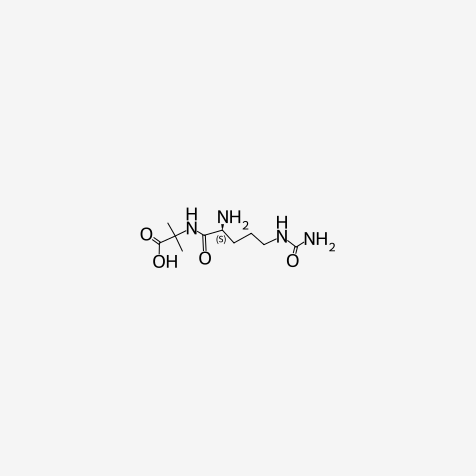 CC(C)(NC(=O)[C@@H](N)CCCNC(N)=O)C(=O)O